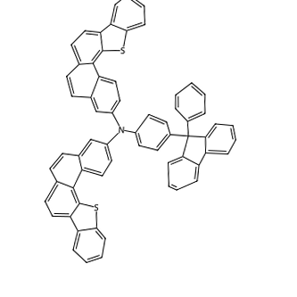 c1ccc(C2(c3ccc(N(c4ccc5c(ccc6ccc7c8ccccc8sc7c65)c4)c4ccc5c(ccc6ccc7c8ccccc8sc7c65)c4)cc3)c3ccccc3-c3ccccc32)cc1